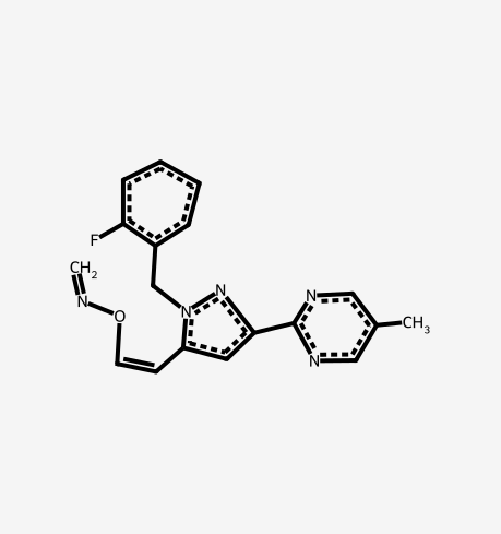 C=NO/C=C\c1cc(-c2ncc(C)cn2)nn1Cc1ccccc1F